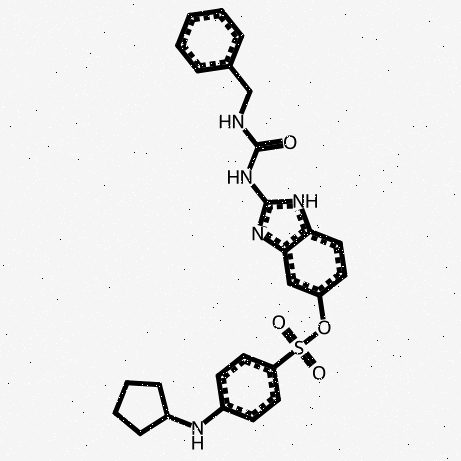 O=C(NCc1ccccc1)Nc1nc2cc(OS(=O)(=O)c3ccc(NC4CCCC4)cc3)ccc2[nH]1